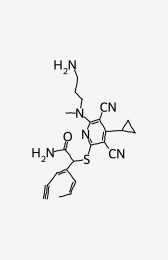 C#C/C=C(\C=C/C)C(Sc1nc(N(C)CCCN)c(C#N)c(C2CC2)c1C#N)C(N)=O